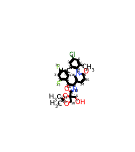 Cc1cc(Cl)cc(C)c1-n1cc(-c2nc(C3(CO)COC(C)(C)O3)oc2-c2ccc(F)cc2F)ccc1=O